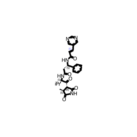 CC(C)[C@H](NC(=O)C[C@H](NC(=O)/C=C/c1cncnc1)c1ccccc1)C(=O)[C@@H]1C(=O)NC(=O)[C@H]1C